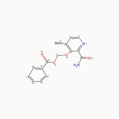 COc1ccnc(C(N)=O)c1OCOC(=O)c1ccccc1